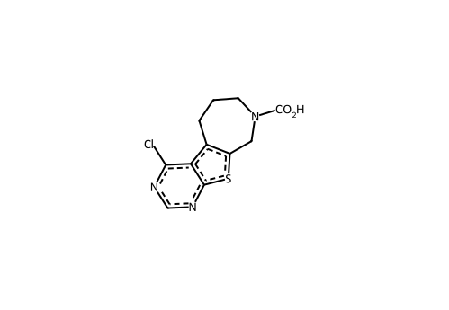 O=C(O)N1CCCc2c(sc3ncnc(Cl)c23)C1